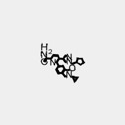 NC(=O)c1ccc(-c2cnn(CC3CCCC3)c2)c(-c2ccc3c(c2)C(=O)N(C2CC2)C3)n1